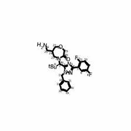 CC(C)(C)[C@H](c1nc(-c2cc(F)ccc2F)nn1Cc1ccccc1)N1CC(CN)COCC1=O